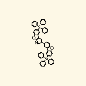 c1ccc([Si](c2ccccc2)(c2ccccc2)c2ccc3oc4ccc(-c5cnc6oc7ccc([Si](c8ccccc8)(c8ccccc8)c8ccccc8)cc7c6c5)cc4c3c2)cc1